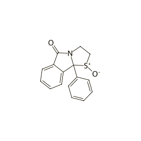 O=C1c2ccccc2C2(c3ccccc3)N1CC[S+]2[O-]